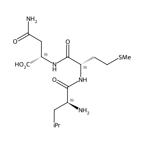 CSCC[C@H](NC(=O)[C@@H](N)CC(C)C)C(=O)N[C@@H](CC(N)=O)C(=O)O